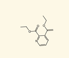 C=C(OCC)c1cccnc1C(=O)OCC